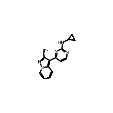 CC(C)c1nn2ccccc2c1-c1ccnc(NC2CC2)n1